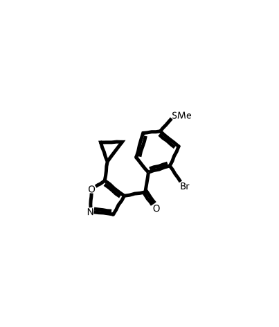 CSc1ccc(C(=O)c2cnoc2C2CC2)c(Br)c1